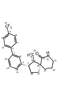 CN1[C@@H](c2cc(-c3ccc(C(F)(F)F)cc3)ccn2)CC[C@]12CCCNC2=O